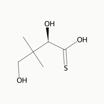 CC(C)(CO)[C@@H](O)C(O)=S